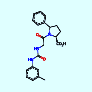 Cc1cccc(NC(=O)NCC(=O)N2C(c3ccccc3)CC[C@H]2C(=O)O)c1